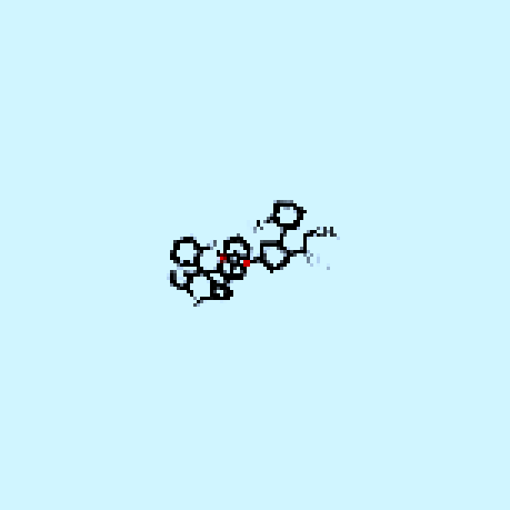 CCC(C)c1ccc(-c2ccc3c(c2)Sc2ccccc2C32C3=C(C=CCC3)Sc3cccc(-c4ccccc4)c32)cc1-c1ccccc1C